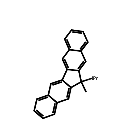 CC(C)C1(C)c2cc3ccccc3cc2-c2cc3ccccc3cc21